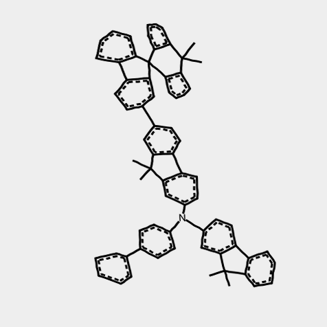 CC1(C)c2ccccc2-c2ccc(N(c3ccc(-c4ccccc4)cc3)c3ccc4c(c3)C(C)(C)c3cc(-c5ccc6c(c5)C5(c7ccccc7-6)c6ccccc6C(C)(C)c6ccccc65)ccc3-4)cc21